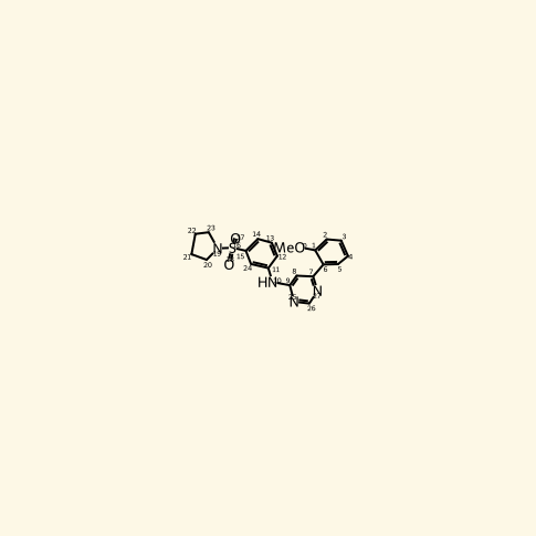 COc1ccccc1-c1cc(Nc2cccc(S(=O)(=O)N3CCCC3)c2)ncn1